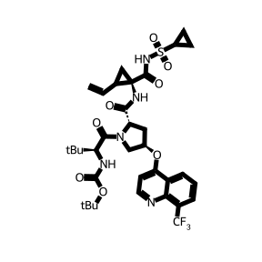 C=CC1C[C@]1(NC(=O)[C@@H]1C[C@@H](Oc2ccnc3c(C(F)(F)F)cccc23)CN1C(=O)[C@@H](NC(=O)OC(C)(C)C)C(C)(C)C)C(=O)NS(=O)(=O)C1CC1